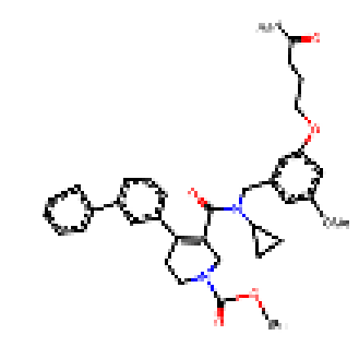 CNC(=O)CCCOc1cc(CN(C(=O)C2=C(c3cccc(-c4ccccc4)c3)CCN(C(=O)OC(C)(C)C)C2)C2CC2)cc(OC)c1